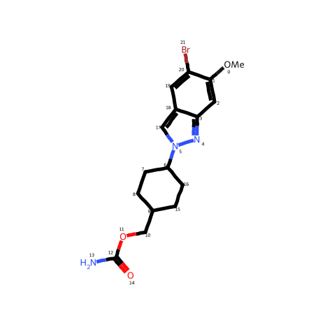 COc1cc2nn(C3CCC(COC(N)=O)CC3)cc2cc1Br